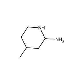 CC1CCNC(N)C1